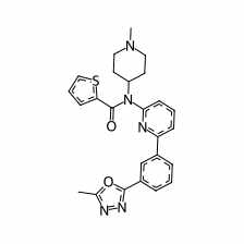 Cc1nnc(-c2cccc(-c3cccc(N(C(=O)c4cccs4)C4CCN(C)CC4)n3)c2)o1